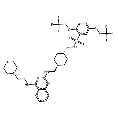 O=S(=O)(NC[C@H]1CC[C@H](CNc2nc(NCCN3CCOCC3)c3ccccc3n2)CC1)c1cc(OCC(F)(F)F)ccc1OCC(F)(F)F